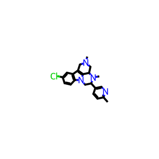 Cc1ccc(C2Cn3c4c(c5cc(Cl)ccc53)CN(C)CC4N2C)cn1